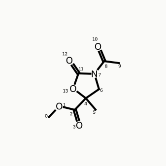 COC(=O)C1(C)CN(C(C)=O)C(=O)O1